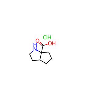 Cl.O=C(O)C12CCCC1CCN2